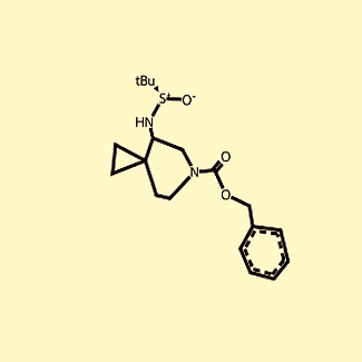 CC(C)(C)[S@@+]([O-])NC1CN(C(=O)OCc2ccccc2)CCC12CC2